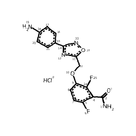 Cl.NC(=O)c1c(F)ccc(OCc2nc(-c3ccc(N)cc3)no2)c1F